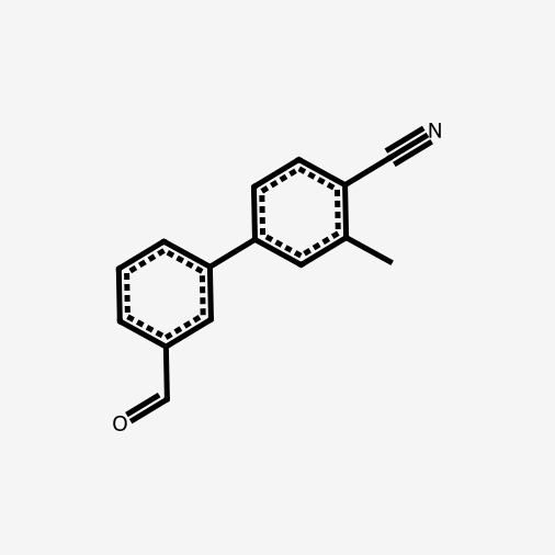 Cc1cc(-c2cccc(C=O)c2)ccc1C#N